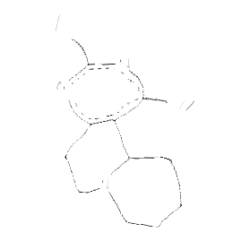 Oc1nc(O)c2c(n1)CCN1CCCCC21